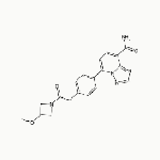 COC1CN(C(=O)Cc2ccc(-c3ccc(C(N)=O)c4n[c]nn34)cc2)C1